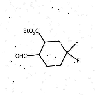 CCOC(=O)C1CC(F)(F)CCC1C=O